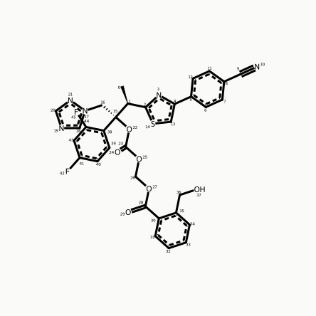 C[C@@H](c1nc(-c2ccc(C#N)cc2)cs1)[C@@](Cn1cncn1)(OC(=O)OCOC(=O)c1ccccc1CO)c1ccc(F)cc1F